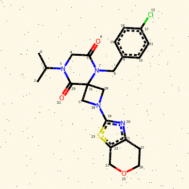 CC(C)N1CC(=O)N(Cc2ccc(Cl)cc2)C2(CN(c3nc4c(s3)COCC4)C2)C1=O